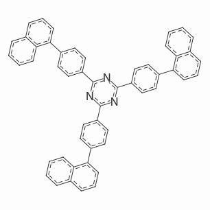 c1ccc2c(-c3ccc(-c4nc(-c5ccc(-c6cccc7ccccc67)cc5)nc(-c5ccc(-c6cccc7ccccc67)cc5)n4)cc3)cccc2c1